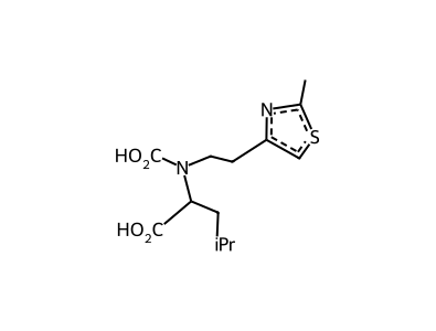 Cc1nc(CCN(C(=O)O)C(CC(C)C)C(=O)O)cs1